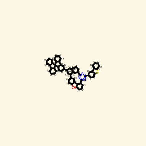 c1ccc(-c2nc(-c3ccc4sc5ccccc5c4c3)nc(-c3cccc4oc5ccc(-c6cccc(-c7ccc8c(c7)-c7ccccc7C87c8ccccc8-c8ccccc87)c6)cc5c34)n2)cc1